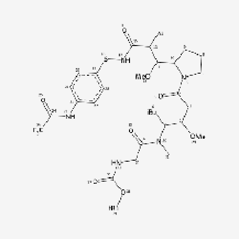 CCC(C)C(C(CC(=O)N1CCCC1C(OC)C(C)C(=O)NSc1ccc(NC(=O)C(F)(F)F)cc1)OC)N(C)C(=O)CNC(=O)OC(C)(C)C